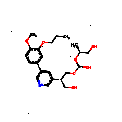 CCCOc1cc(-c2cncc([C@@H](CO)COB(O)O[C@@H](C)CO)c2)ccc1OC